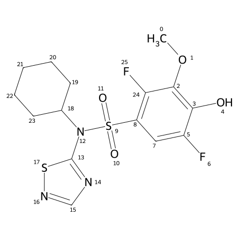 COc1c(O)c(F)cc(S(=O)(=O)N(c2ncns2)C2CCCCC2)c1F